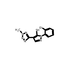 CCc1ccccc1-n1ncc(-c2nnn(C)n2)c1S